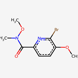 COc1ccc(C(=O)N(C)OC)nc1Br